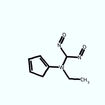 C[CH2][W]([C]1=CC=CC1)[CH](N=O)N=O